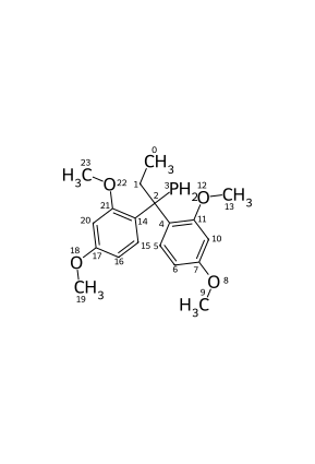 CCC(P)(c1ccc(OC)cc1OC)c1ccc(OC)cc1OC